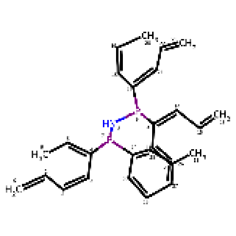 C=C/C=C\C(=C/C)P(NP(C(/C=C\C)=C/C=C)C(/C=C\C)=C/C=C)c1ccccc1